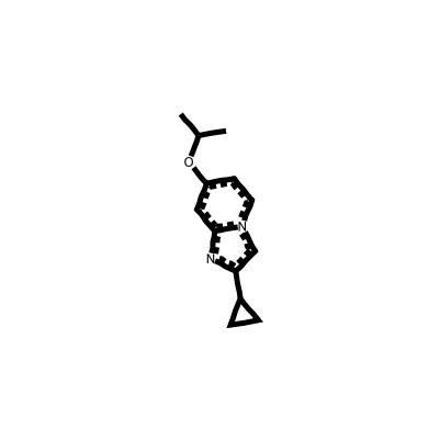 CC(C)Oc1ccn2cc(C3CC3)nc2c1